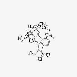 Cc1ccc2c(c1-c1cc([Si](C)(C)C)cc([Si](C)(C)C)c1)C=C(CC(C)C)[CH]2[Zr]([Cl])[Cl]